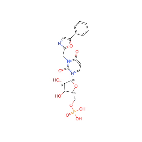 O=c1ccn([C@@H]2O[C@H](COP(=O)(O)O)C(O)[C@@H]2O)c(=O)n1Cc1ncc(-c2ccccc2)o1